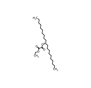 CCCCCCCCCCN(CCCCCCCCCC)OC(=O)C(=O)OCC